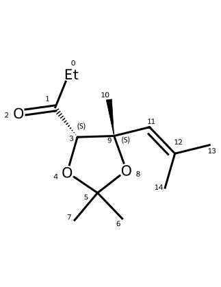 CCC(=O)[C@H]1OC(C)(C)O[C@@]1(C)C=C(C)C